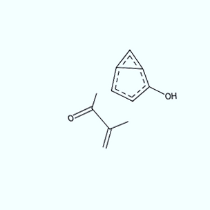 C=C(C)C(C)=O.Oc1ccc2cc1-2